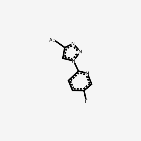 CC(=O)c1cn(-c2ccc(F)cn2)nn1